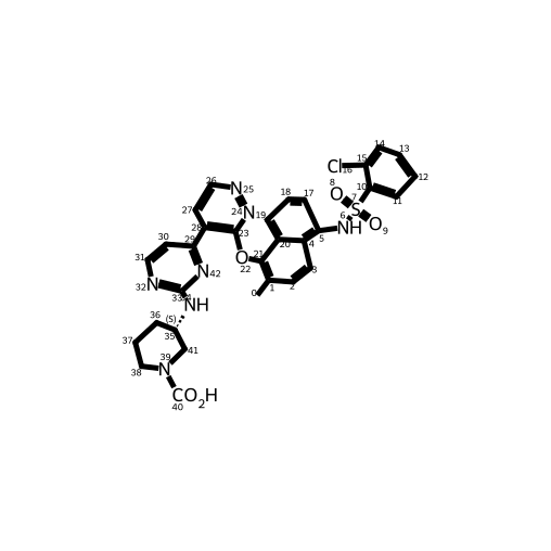 Cc1ccc2c(NS(=O)(=O)c3ccccc3Cl)cccc2c1Oc1nnccc1-c1ccnc(N[C@H]2CCCN(C(=O)O)C2)n1